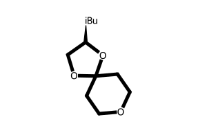 CC[C@H](C)C1COC2(CCOCC2)O1